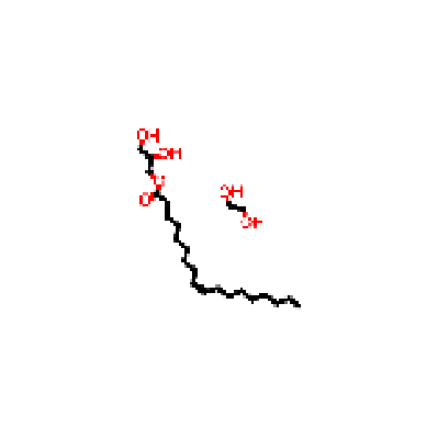 CCCCCCCC/C=C\CCCCCCCC(=O)OCC(O)CO.OCCO